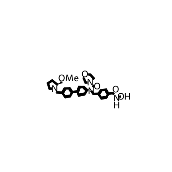 COC[C@@H]1CCCN1Cc1ccc(-c2ccc(N(Cc3ccc(C(=O)NO)cc3)C(=O)N3CCOCC3)cc2)cc1